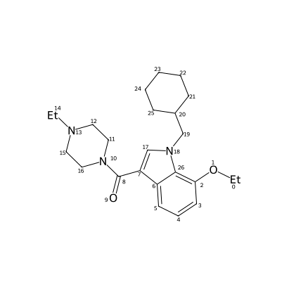 CCOc1cccc2c(C(=O)N3CCN(CC)CC3)cn(CC3CCCCC3)c12